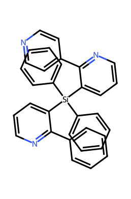 c1ccc(-c2ncccc2[Si](c2ccccc2)(c2ccccc2)c2cccnc2-c2ccncc2)cc1